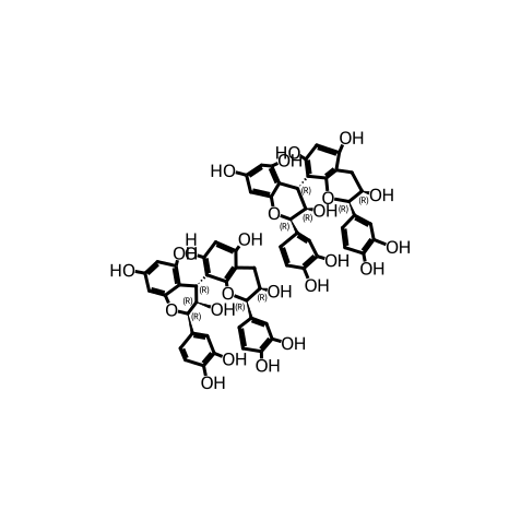 Oc1cc(O)c2c(c1)O[C@H](c1ccc(O)c(O)c1)[C@H](O)[C@H]2c1c(O)cc(O)c2c1O[C@H](c1ccc(O)c(O)c1)[C@H](O)C2.Oc1cc(O)c2c(c1)O[C@H](c1ccc(O)c(O)c1)[C@H](O)[C@H]2c1c(O)cc(O)c2c1O[C@H](c1ccc(O)c(O)c1)[C@H](O)C2